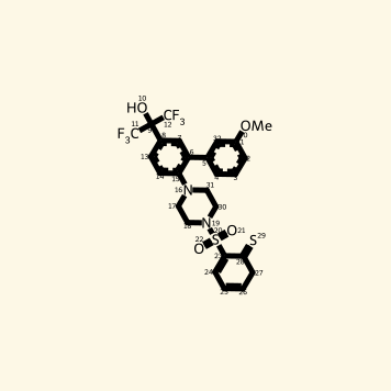 COc1cccc(-c2cc(C(O)(C(F)(F)F)C(F)(F)F)ccc2N2CCN(S(=O)(=O)C3=CC=CCC3=S)CC2)c1